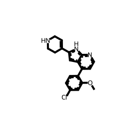 COc1cc(Cl)ccc1-c1ccnc2[nH]c(C3=CCNCC3)cc12